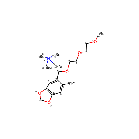 CCCCOCCOCCOCc1cc2c(cc1CCC)OCO2.CCCC[N+](CCCC)(CCCC)CCCC